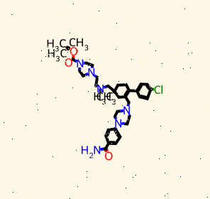 CN(CCN1CCN(C(=O)OC(C)(C)C)CC1)CC1(C)CCC(c2ccc(Cl)cc2)=C(CN2CCN(c3ccc(C(N)=O)cc3)CC2)C1